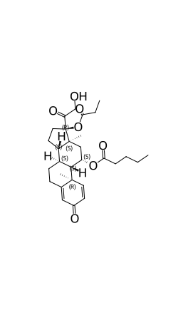 CCCCC(=O)O[C@H]1C[C@@]2(C)[C@@H](CC[C@]2(OC(=O)CC)C(=O)CO)[C@@H]2CCC3=CC(=O)C=C[C@]3(C)[C@H]21